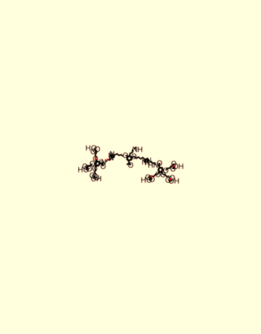 CNCCCc1c(OCCCCc2cn(CCCNC(=O)c3cc(OCCCS(=O)(=O)O)c(OCCCS(=O)(=O)O)c(OCCCS(=O)(=O)O)c3)nn2)cc(C(C)=O)cc1OCCCCc1cn(CCCNC(=O)c2cc(OCCCS(=O)(=O)O)c(OCCS(=O)(=O)O)c(OCCCS(=O)(=O)O)c2)nn1